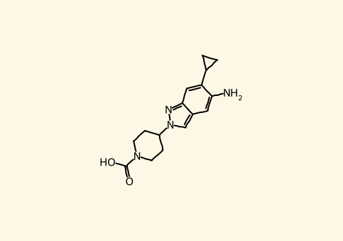 Nc1cc2cn(C3CCN(C(=O)O)CC3)nc2cc1C1CC1